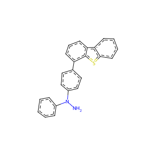 NN(c1ccccc1)c1ccc(-c2cccc3c2sc2ccccc23)cc1